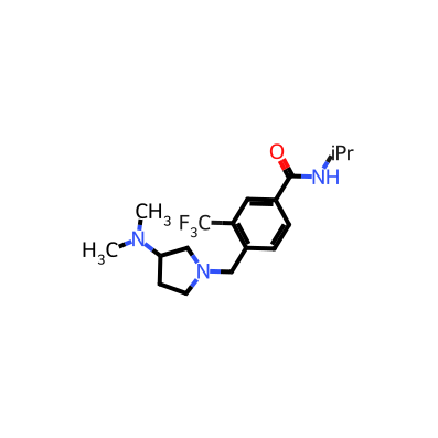 CC(C)NC(=O)c1ccc(CN2CCC(N(C)C)C2)c(C(F)(F)F)c1